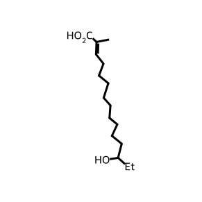 CCC(O)CCCCCCCCCC=C(C)C(=O)O